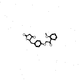 COc1ccccc1C(=O)COc1ccc(CC2SC(=O)CC2=O)cc1